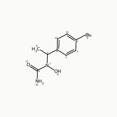 CCC(C)c1ccc(C(C)N(O)C(N)=O)cc1